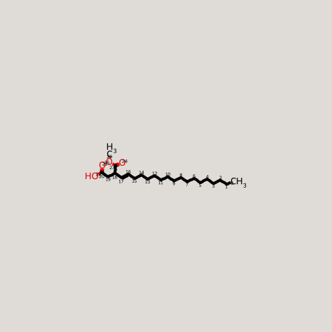 CCCCCCCCCCCCCCCCC=CC(CC(=O)O)C(=O)OC